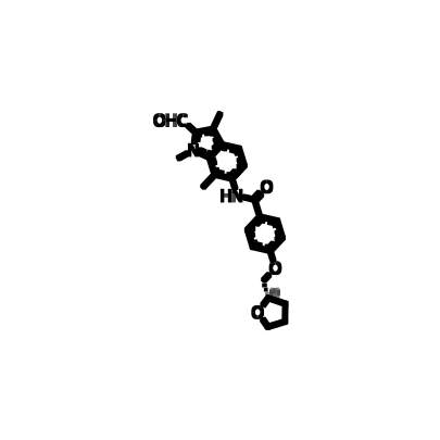 Cc1c(C=O)n(C)c2c(C)c(NC(=O)c3ccc(OC[C@@H]4CCCO4)cc3)ccc12